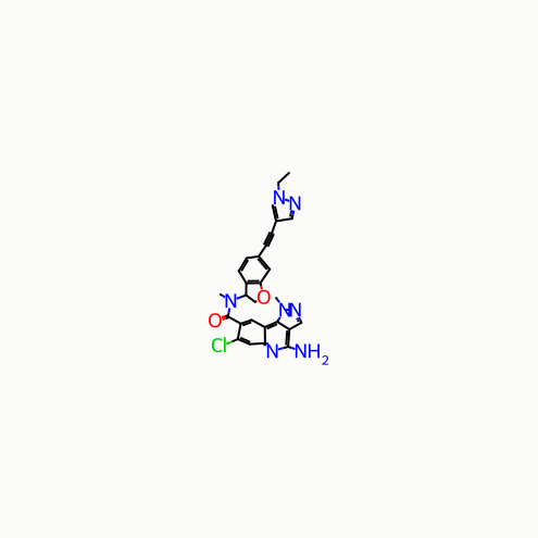 CCn1cc(C#Cc2ccc3c(c2)OCC3N(C)C(=O)c2cc3c(cc2Cl)nc(N)c2cnn(C)c23)cn1